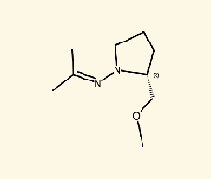 COC[C@H]1CCCN1N=C(C)C